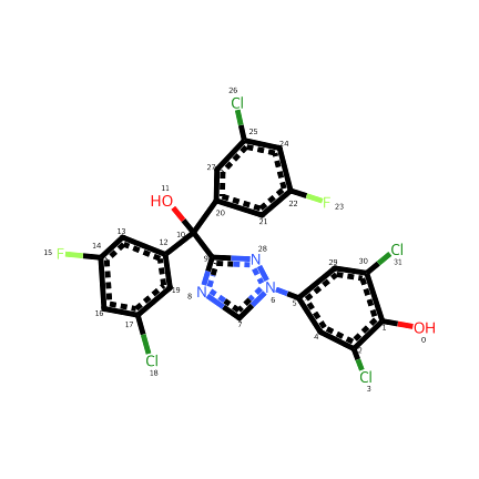 Oc1c(Cl)cc(-n2cnc(C(O)(c3cc(F)cc(Cl)c3)c3cc(F)cc(Cl)c3)n2)cc1Cl